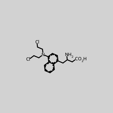 NC(CC(=O)O)Cc1ccc(N(CCCl)CCCl)c2ccccc12